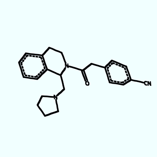 N#Cc1ccc(CC(=O)N2CCc3ccccc3C2CN2CCCC2)cc1